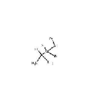 CCC(C)(C)[Si](NC(C)C)(C(C)C)C(C)C